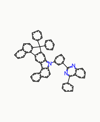 c1ccc(-c2nc(-c3cccc(-n4c5cc6c(cc5c5c7ccccc7ccc54)-c4c(ccc5ccccc45)C6(c4ccccc4)c4ccccc4)c3)nc3ccccc23)cc1